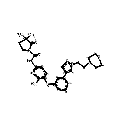 Cc1nc(NC(=O)N2CCC(C)(C)C2=O)ccc1Oc1ccnc(-c2cnn(CCN3CCOCC3)c2)c1